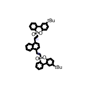 CC(C)(C)c1ccc2c(c1)-c1ccccc1P(=O)(/C=C/c1ccc(/C=C/P3(=O)Oc4ccc(C(C)(C)C)cc4-c4ccccc43)c3ccccc13)O2